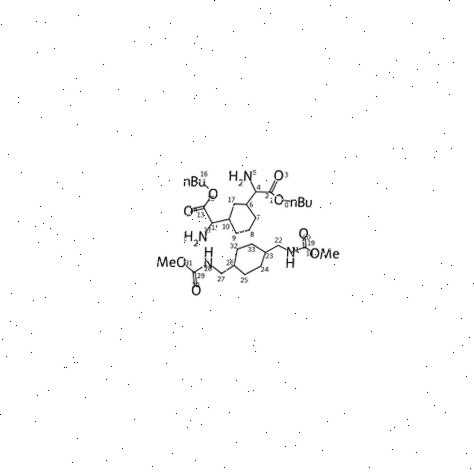 CCCCOC(=O)C(N)C1CCCC(C(N)C(=O)OCCCC)C1.COC(=O)NCC1CCC(CNC(=O)OC)CC1